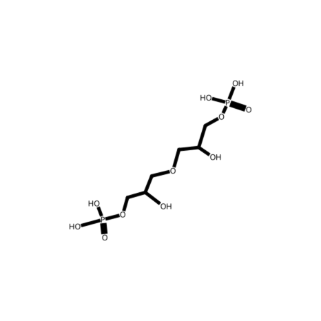 O=P(O)(O)OCC(O)COCC(O)COP(=O)(O)O